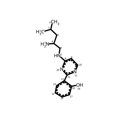 CC(C)CC(N)CNc1ccnc(-c2ccccc2O)n1